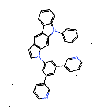 c1ccc(-n2c3ccccc3c3cc4ccn(-c5cc(-c6cccnc6)cc(-c6cccnc6)c5)c4cc32)cc1